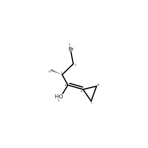 C[C@H](CBr)C(O)=C1CC1